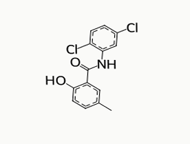 Cc1ccc(O)c(C(=O)Nc2cc(Cl)ccc2Cl)c1